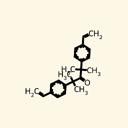 C=Cc1ccc(C(C)(C)C(=O)C(C)(C)c2ccc(C=C)cc2)cc1